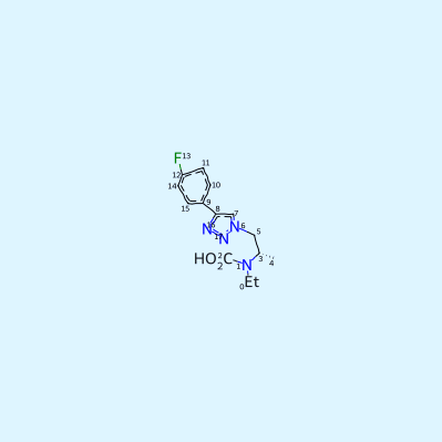 CCN(C(=O)O)[C@@H](C)Cn1cc(-c2ccc(F)cc2)nn1